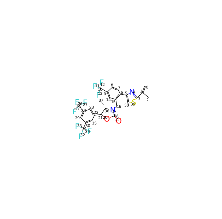 C=C(C)c1nc(-c2ccc(C(F)(F)F)cc2CN2C(=O)OC(c3cc(C(F)(F)F)cc(C(F)(F)F)c3)[C@@H]2C)cs1